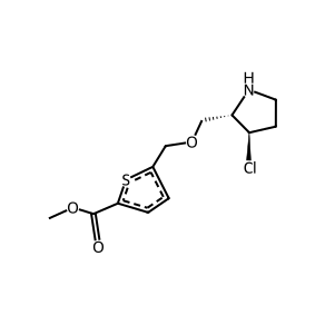 COC(=O)c1ccc(COC[C@@H]2NCC[C@H]2Cl)s1